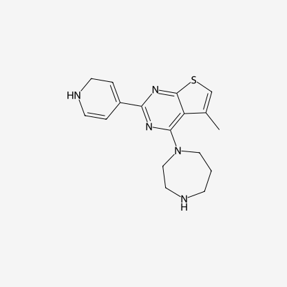 Cc1csc2nc(C3=CCNC=C3)nc(N3CCCNCC3)c12